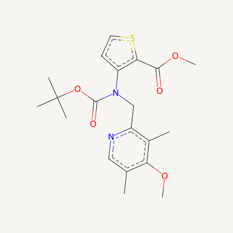 COC(=O)c1sccc1N(Cc1ncc(C)c(OC)c1C)C(=O)OC(C)(C)C